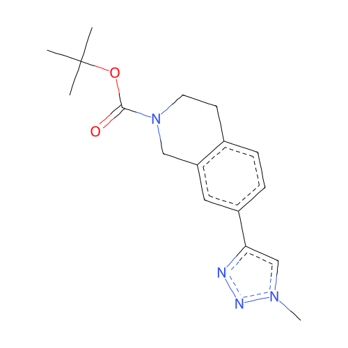 Cn1cc(-c2ccc3c(c2)CN(C(=O)OC(C)(C)C)CC3)nn1